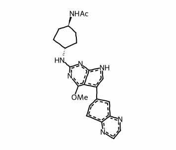 COc1nc(N[C@H]2CC[C@H](NC(C)=O)CC2)nc2[nH]cc(-c3ccc4nccnc4c3)c12